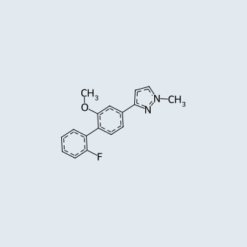 COc1cc(-c2ccn(C)n2)ccc1-c1ccccc1F